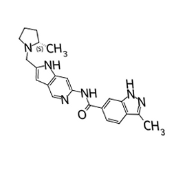 Cc1n[nH]c2cc(C(=O)Nc3cc4[nH]c(CN5CCC[C@@H]5C)cc4cn3)ccc12